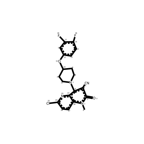 Cn1c(=O)c(C#N)c(N2CCC(Oc3ccc(F)c(F)c3)CC2)c2nc(Cl)ccc21